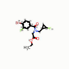 CCOC(=O)CN(CC1CC1F)C(=O)c1ccc(Br)c(F)c1